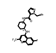 CC(C)Cn1nccc1C(=O)N[C@@H]1CCC[C@H](Nc2cc(C(F)(F)F)nc3ccc(F)cc23)C1